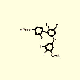 CCCCCc1ccc(-c2cc(Oc3cc(F)c(F)c(OCC)c3)cc(F)c2F)c(F)c1